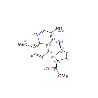 COC(=O)[C@@H]1CC[C@H](Nc2c([N+](=O)[O-])cnc3c(OC)cccc23)C1